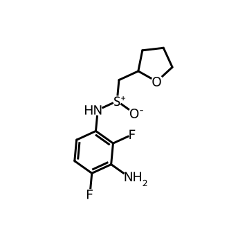 Nc1c(F)ccc(N[S+]([O-])CC2CCCO2)c1F